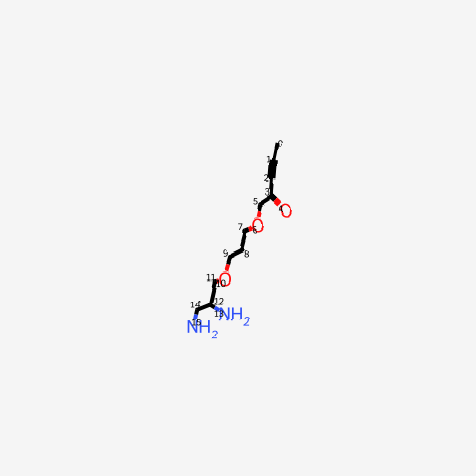 CC#CC(=O)COCCCOCC(N)CN